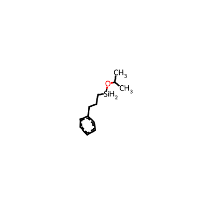 CC(C)O[SiH2]CCCc1ccccc1